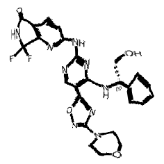 O=C1NC(F)(F)c2nc(Nc3ncc(-c4nc(N5CCOCC5)no4)c(N[C@H](CO)c4ccccc4)n3)ccc21